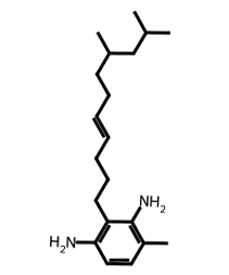 Cc1ccc(N)c(CCCC=CCCC(C)CC(C)C)c1N